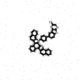 Clc1cnc2sc3ccc(-c4ccc(-n5c6c7ccccc7ccc6c6c7ccccc7c7c8ccc9ccccc9c8sc7c65)cc4)cc3c2n1